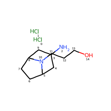 Cl.Cl.NC1CC2CCC(C1)N2CCCO